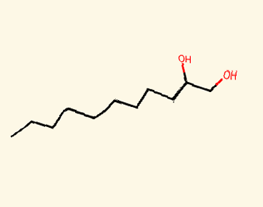 CCCCCCCC[CH]C(O)CO